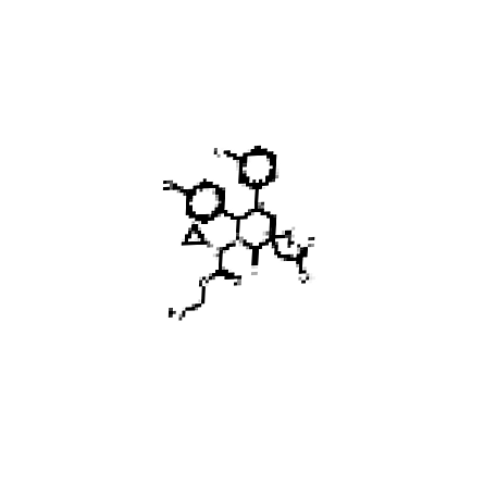 CCOC(=O)[C@H](C1CC1)N1C(=O)[C@@](C)(CC(=O)O)C[C@H](c2cccc(Cl)c2)C1c1ccc(Cl)cc1